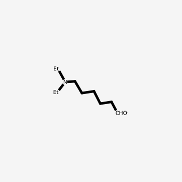 CCN(CC)CCCCC[C]=O